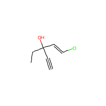 C#CC(O)(/C=C/Cl)CC